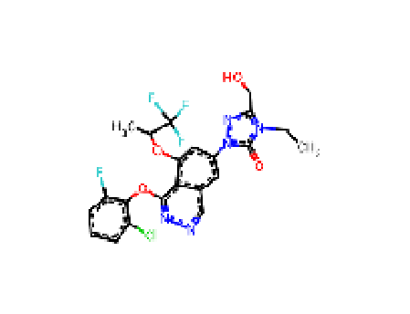 CCn1c(CO)nn(-c2cc(OC(C)C(F)(F)F)c3c(Oc4c(F)cccc4Cl)nncc3c2)c1=O